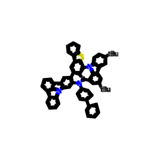 CC(C)(C)c1ccc2c(c1)c1cc(C(C)(C)C)cc3c1n2-c1c2c(cc4c1sc1ccccc14)-c1cc4c5cccc6c7ccccc7n(c4cc1N(c1ccc(-c4ccccc4)cc1)B23)c65